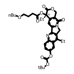 CCCCOCCCC(=O)O[C@]1(CC)C(=O)OCc2c1cc1n(c2=O)Cc2c-1nc1ccc(OC(=O)OC(C)(C)C)cc1c2CC